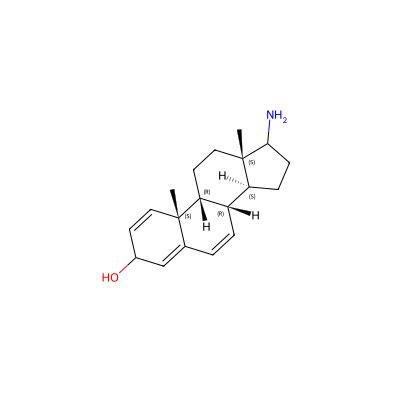 C[C@]12C=CC(O)C=C1C=C[C@@H]1[C@H]2CC[C@]2(C)C(N)CC[C@@H]12